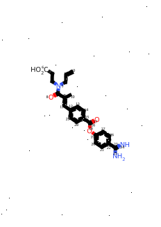 C=CCN(CCC(=O)O)C(=O)/C(C)=C/c1ccc(C(=O)Oc2ccc(C(=N)N)cc2)cc1